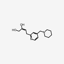 OC/C(O)=C\Cc1cc(CN2CCCCC2)ccn1